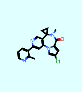 Cc1ncccc1-c1cc2c(cn1)C1(CC1)N(C)C(=O)c1cc(Cl)cn1-2